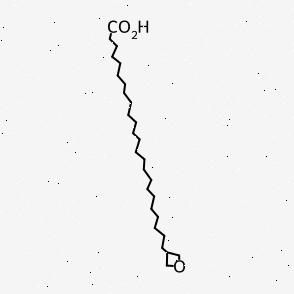 O=C(O)CCCCCCCCCCCCCCCCCCCCCCCC1COC1